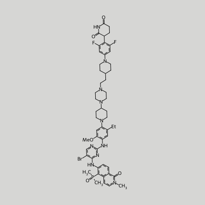 CCc1cc(Nc2ncc(Br)c(Nc3ccc4c(=O)n(C)ccc4c3P(C)(C)=O)n2)c(OC)cc1N1CCC(N2CCN(CCC3CCN(c4cc(F)c(C5CCC(=O)NC5=O)c(F)c4)CC3)CC2)CC1